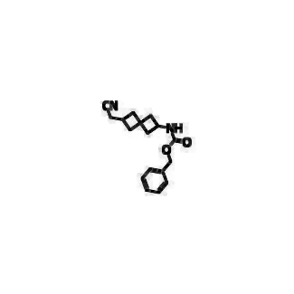 N#CCC1CC2(C1)CC(NC(=O)OCc1ccccc1)C2